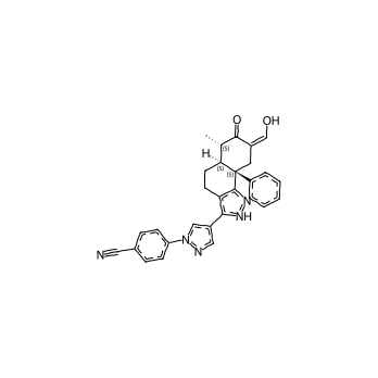 C[C@@H]1C(=O)C(=CO)C[C@]2(c3ccccc3)c3n[nH]c(-c4cnn(-c5ccc(C#N)cc5)c4)c3CC[C@@H]12